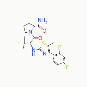 Cc1sc(N[C@H](C(=O)N2CCCC2C(N)=O)C(C)(C)C)nc1-c1ccc(F)cc1F